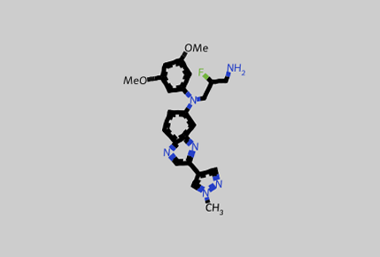 COc1cc(OC)cc(N(CC(F)CN)c2ccc3ncc(-c4cnn(C)c4)nc3c2)c1